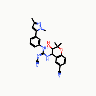 Cc1cc(-c2cccc(N/C(=N/C#N)NC3c4cc(C#N)ccc4OC(C)(C)C3O)c2)n(C)n1